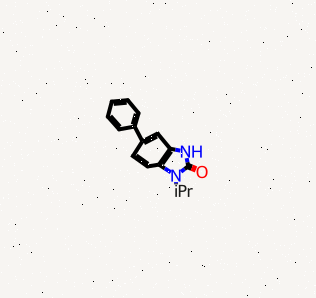 CC(C)n1c(=O)[nH]c2cc(-c3ccccc3)ccc21